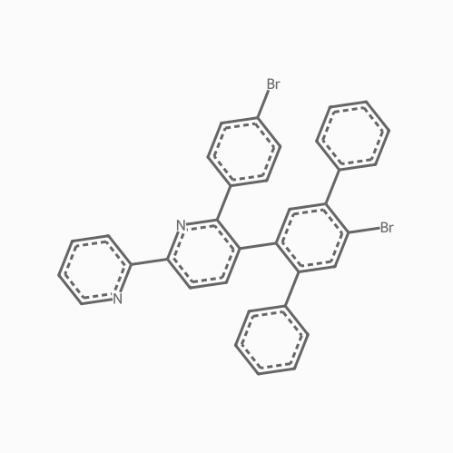 Brc1ccc(-c2nc(-c3ccccn3)ccc2-c2cc(-c3ccccc3)c(Br)cc2-c2ccccc2)cc1